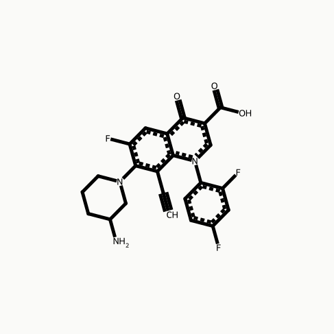 C#Cc1c(N2CCCC(N)C2)c(F)cc2c(=O)c(C(=O)O)cn(-c3ccc(F)cc3F)c12